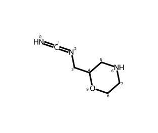 N=C=NCC1CNCCO1